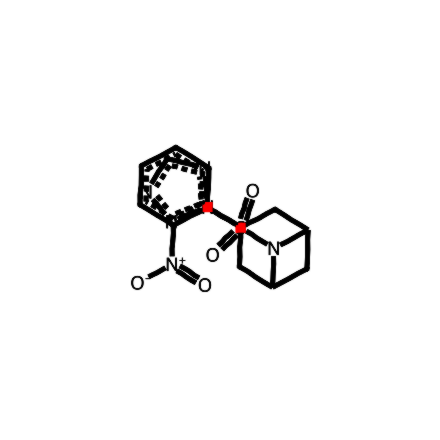 O=[N+]([O-])c1ccccc1S(=O)(=O)N1C2CC1CC(n1ncnn1)C2